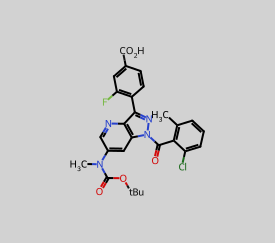 Cc1cccc(Cl)c1C(=O)n1nc(-c2ccc(C(=O)O)cc2F)c2ncc(N(C)C(=O)OC(C)(C)C)cc21